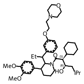 CCC(c1cccc(OCCN2CCOCC2)c1)C1C(c2ccc(OC)c(OC)c2)CCCN1C(=O)[C@@H](C1CCCCC1)[C@H](O)CC(C)C